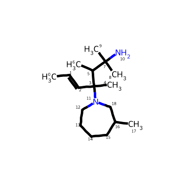 C/C=C/C(C)(C(C)C(C)(C)N)N1CCCCC(C)C1